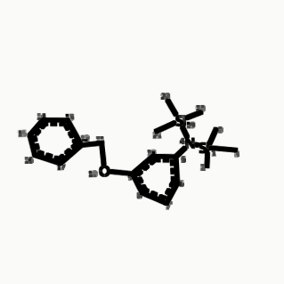 C[Si](C)(C)N(c1c[c]cc(OCc2ccccc2)c1)[Si](C)(C)C